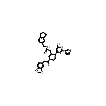 O=C(CC1CN(C(=O)Cc2ccc3c(c2)OCO3)CCN1c1cc(Cl)nc(-n2ccnc2)n1)NCc1ccc2c(c1)CCC2